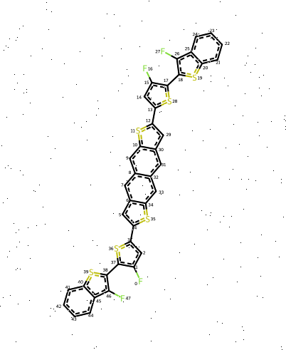 Fc1cc(-c2cc3cc4cc5sc(-c6cc(F)c(-c7sc8ccccc8c7F)s6)cc5cc4cc3s2)sc1-c1sc2ccccc2c1F